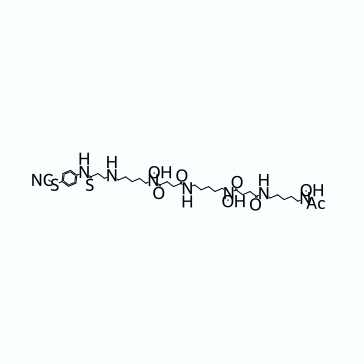 CC(=O)N(O)CCCCCNC(=O)CCC(=O)N(O)CCCCCNC(=O)CCC(=O)N(O)CCCCCNCCC(=S)Nc1ccc(SC#N)cc1